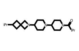 CC(C)C(=O)N1CCC(N2CCC(N3CC4(CC(C(C)C)C4)C3)CC2)CC1